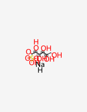 O=C([C@H](O)[C@@H](O)[C@H](O)[C@H](O)CO)S(=O)(=O)O.[NaH]